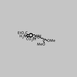 CCOC(=O)c1c2ccc(CC(=O)NOCCCN(CCOC)CCOC)ccc-2c(C(=O)OCC)c1N